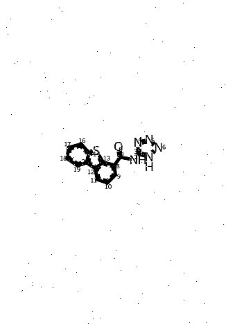 O=C(Nc1nnn[nH]1)c1cccc2c1sc1ccccc12